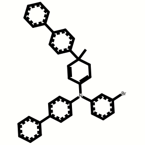 CC1(c2ccc(-c3ccccc3)cc2)C=CC(N(c2ccc(-c3ccccc3)cc2)c2cccc(Br)c2)=CC1